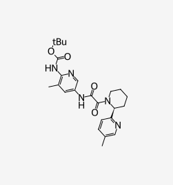 Cc1ccc([C@@H]2CCCCN2C(=O)C(=O)Nc2cnc(NC(=O)OC(C)(C)C)c(C)c2)nc1